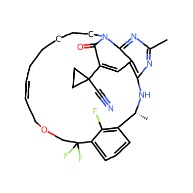 Cc1nc2c3cc(C4(C#N)CC4)c(=O)n(c3n1)CCCCC/C=C\COCC(F)(F)c1cccc(c1F)[C@@H](C)N2